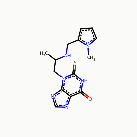 CC(Cn1c(=S)[nH]c(=O)c2[nH]cnc21)NCc1cccn1C